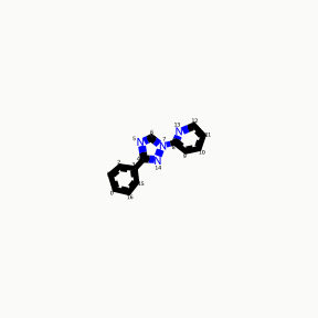 c1ccc(-c2ncn(-c3ccccn3)n2)cc1